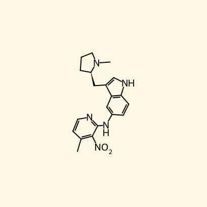 Cc1ccnc(Nc2ccc3[nH]cc(C[C@H]4CCCN4C)c3c2)c1[N+](=O)[O-]